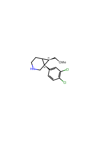 COC[C@@H]1C2CCNC[C@]21c1ccc(Cl)c(Cl)c1